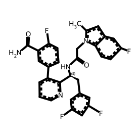 Cc1cc2cc(F)ccc2n1CC(=O)N[C@@H](Cc1cc(F)cc(F)c1)c1ncccc1-c1ccc(F)c(C(N)=O)c1